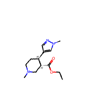 CCOC(=O)[C@@H]1CN(C)CC[C@H]1c1cnn(C)c1